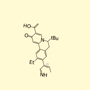 C=C(O)c1cn2c(cc1=O)-c1cc(CC)c(/C(C=N)=C/C)cc1CC2C(C)(C)C